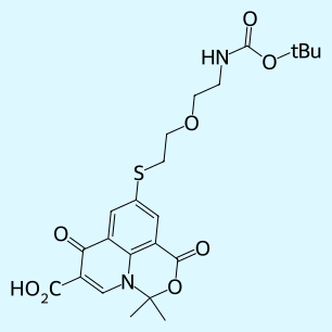 CC(C)(C)OC(=O)NCCOCCSc1cc2c3c(c1)c(=O)c(C(=O)O)cn3C(C)(C)OC2=O